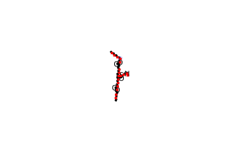 CCCCCC/C=C\COC(=O)CCCCCCN(CCCCCCC(=O)OCCCCCCC)C(=O)SCCN(C)CC